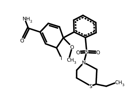 CCC1CN(S(=O)(=O)c2ccccc2C2(OC)C=CC(C(N)=O)=CC2I)CCS1